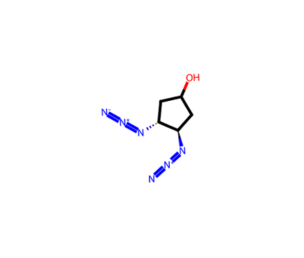 [N-]=[N+]=N[C@@H]1CC(O)C[C@H]1N=[N+]=[N-]